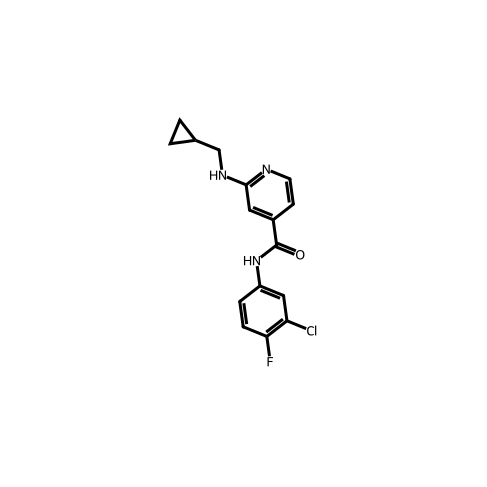 O=C(Nc1ccc(F)c(Cl)c1)c1ccnc(NCC2CC2)c1